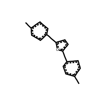 Cc1ccc(-c2ccc(-c3ccc(C)cc3)o2)cc1